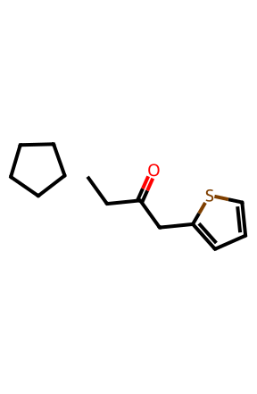 C1CCCC1.CCC(=O)Cc1cccs1